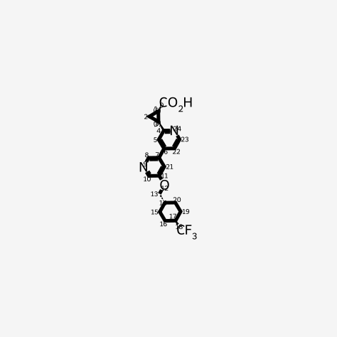 O=C(O)[C@H]1C[C@@H]1c1cc(-c2cncc(OC[C@H]3CC[C@H](C(F)(F)F)CC3)c2)ccn1